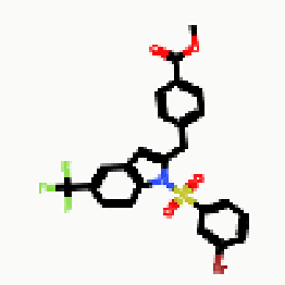 COC(=O)c1ccc(Cc2cc3cc(C(F)(F)F)ccc3n2S(=O)(=O)c2cccc(Br)c2)cc1